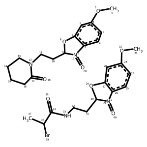 COc1ccc2c(c1)OC(CCN1CCCCC1=O)[N+]2=O.COc1ccc2c(c1)OC(CCNC(=O)C(C)Br)[N+]2=O